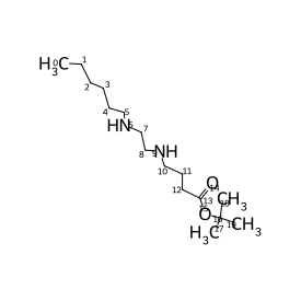 CCCCCCNCCNCCCC(=O)OC(C)(C)C